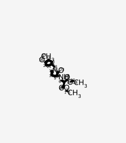 CCOC(=O)C(=CNc1cccn(Cc2ccc(OC)cc2)c1=O)C(=O)OCC